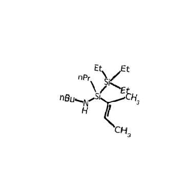 C/C=C(\C)[Si](CCC)(NCCCC)[Si](CC)(CC)CC